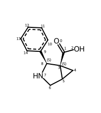 O=C(O)[C@@]12CC1CN[C@H]2c1ccccc1